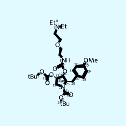 CCN(CC)CCOCCNC(=O)O[C@@H]1[C@@H](OC(=O)OC(C)(C)C)CN(C(=O)OC(C)(C)C)[C@@H]1Cc1ccc(OC)cc1